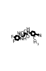 Cc1cc(NC(=O)[C@@](C)(O)Cc2nc3cc(F)c(F)cc3[nH]2)ccc1C#N